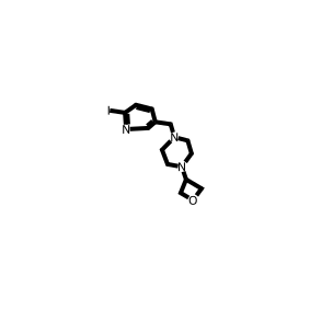 Ic1ccc(CN2CCN(C3COC3)CC2)cn1